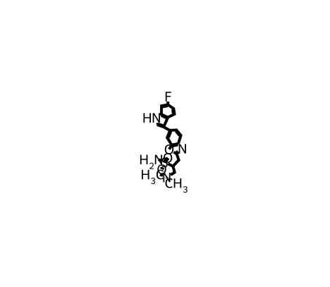 CN(C)CC(Cc1nc2ccc(-c3c[nH]c4cc(F)ccc34)cc2o1)S(N)(=O)=O